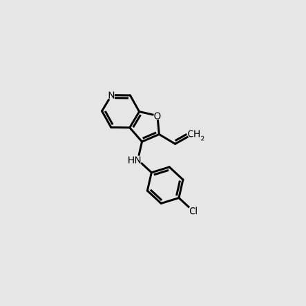 C=Cc1oc2cnccc2c1Nc1ccc(Cl)cc1